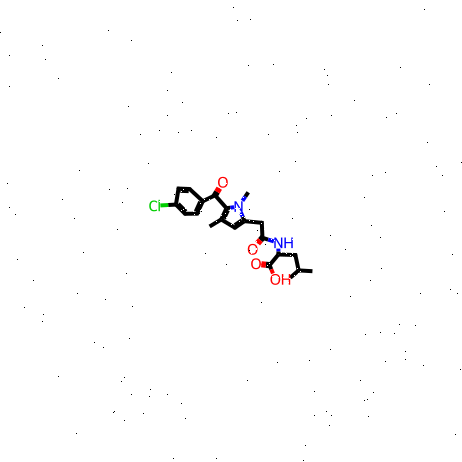 Cc1cc(CC(=O)NC(CC(C)C)C(=O)O)n(C)c1C(=O)c1ccc(Cl)cc1